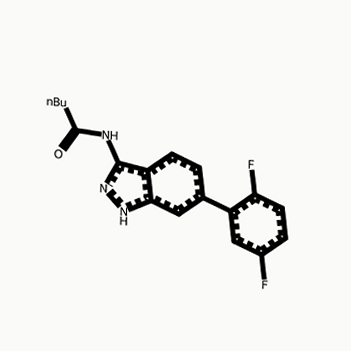 CCCCC(=O)Nc1n[nH]c2cc(-c3cc(F)ccc3F)ccc12